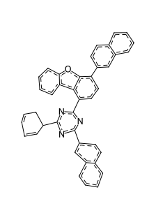 C1=CCC(c2nc(-c3ccc4ccccc4c3)nc(-c3ccc(-c4ccc5ccccc5c4)c4oc5ccccc5c34)n2)C=C1